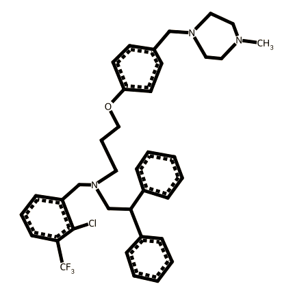 CN1CCN(Cc2ccc(OCCCN(Cc3cccc(C(F)(F)F)c3Cl)CC(c3ccccc3)c3ccccc3)cc2)CC1